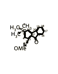 CON=Cc1c[c]([Sn]([CH3])([CH3])[CH3])cc2c1C(=O)c1ccccc1-2